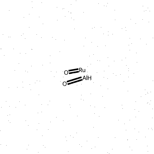 [O]=[AlH].[O]=[Ru]